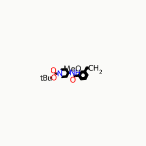 C=Cc1cccc(C(=O)NC2CCN(C(=O)OC(C)(C)C)CC2)c1OC